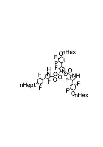 CCCCCCCc1cc(F)c(-c2c[nH]c(C(=O)OC(=O)c3c(F)c(-c4ccc(OCCCCCC)c(F)c4F)cn3OC(=O)c3[nH]cc(-c4cc(F)c(OCCCCCC)cc4F)c3F)c2F)cc1F